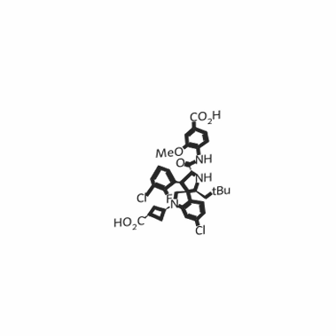 COc1cc(C(=O)O)ccc1NC(=O)[C@@H]1N[C@@H](CC(C)(C)C)[C@@]2(CN([C@H]3C[C@@H](C(=O)O)C3)c3cc(Cl)ccc32)[C@H]1c1cccc(Cl)c1F